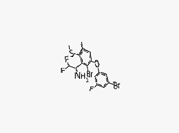 CSc1c(C)cc(Oc2cc(F)cc(Br)c2)c(Br)c1C(N)C(F)F